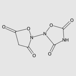 O=C1CC(=O)N(n2oc(=O)[nH]c2=O)O1